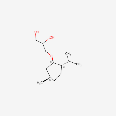 CC(C)[C@@H]1CC[C@@H](C)C[C@H]1OCC(O)CO